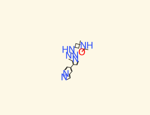 CC(=O)N[C@]1(C)C[C@@H](Nc2ncc3c(-c4ccn5nccc5c4)ccn3n2)C1